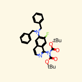 CC(C)(C)OC(=O)N(C(=O)OC(C)(C)C)c1nccc2cc(N(Cc3ccccc3)Cc3ccccc3)c(F)cc12